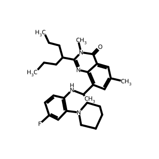 CCCC(CCC)c1nc2c(C(C)Nc3ccc(F)cc3N3CCCCC3)cc(C)cc2c(=O)n1C